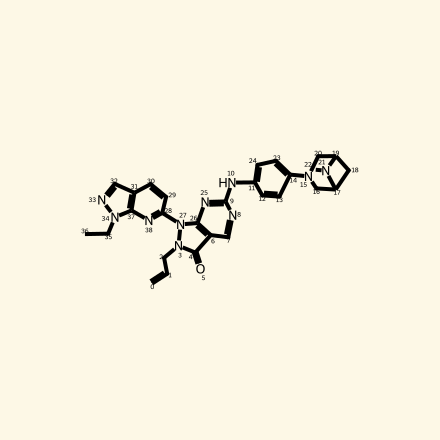 C=CCn1c(=O)c2cnc(Nc3ccc(N4CC5CC(C4)N5C)cc3)nc2n1-c1ccc2cnn(CC)c2n1